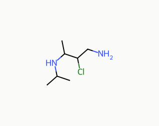 CC(C)NC(C)C(Cl)CN